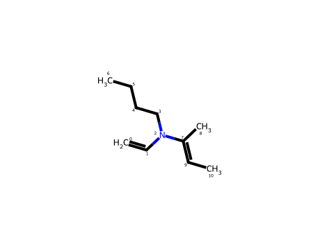 C=CN(CCCC)/C(C)=C/C